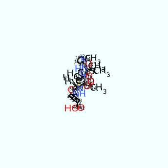 CC[C@H](C)[C@H](NC(=O)[C@H]1CCCCN1C)C(=O)N(C)[C@H](C[C@@H](OC(C)=O)c1nc(C(=O)NC23C4C5C2C2C3C4C52C(=O)O)cs1)C(C)C